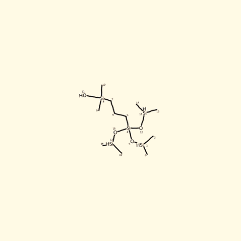 C[SiH](C)O[Si](CCC[Si](C)(C)O)(O[SiH](C)C)O[SiH](C)C